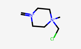 C=[N+]1CC[N+](C)(CCl)CC1